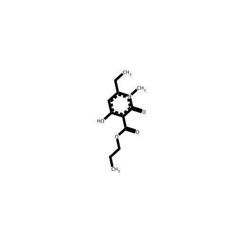 CCCOC(=O)c1c(O)cc(CC)n(C)c1=O